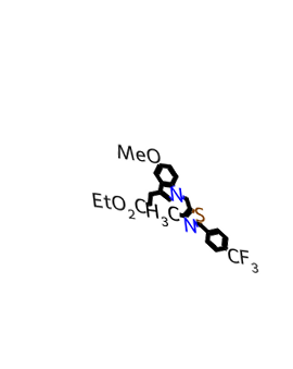 CCOC(=O)CCc1cn(Cc2sc(-c3ccc(C(F)(F)F)cc3)nc2C)c2ccc(OC)cc12